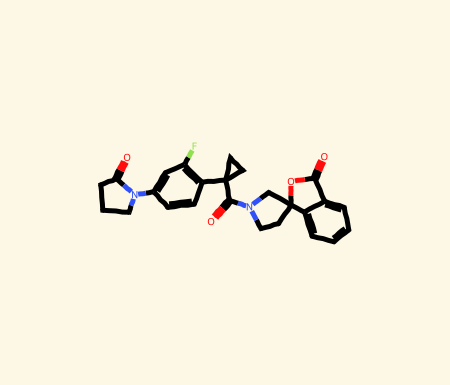 O=C1OC2(CCN(C(=O)C3(c4ccc(N5CCCC5=O)cc4F)CC3)C2)c2ccccc21